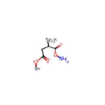 CC(C)OC(=O)CC(C(=O)ON)S(=O)(=O)O